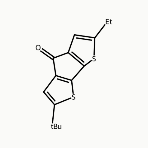 CCc1cc2c(s1)-c1sc(C(C)(C)C)cc1C2=O